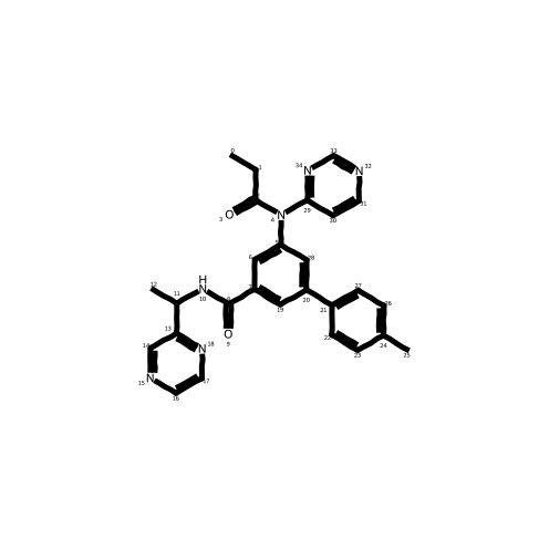 CCC(=O)N(c1cc(C(=O)NC(C)c2cnccn2)cc(-c2ccc(C)cc2)c1)c1ccncn1